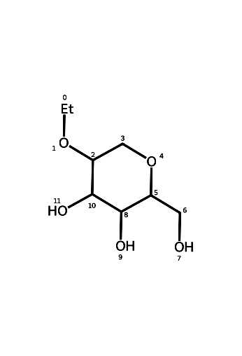 CCOC1COC(CO)C(O)C1O